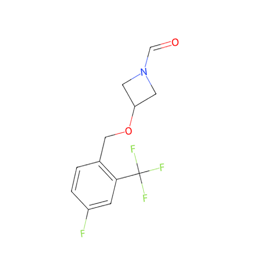 O=CN1CC(OCc2ccc(F)cc2C(F)(F)F)C1